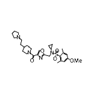 COc1cc(C)c(S(=O)(=O)N(Cc2nc(C(=O)N3CCC(CCN4CCCC4)CC3)co2)C2CC2)c(C)c1